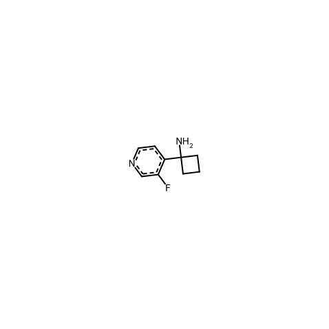 NC1(c2ccncc2F)CCC1